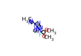 COc1cc(OC)c(F)c(N(C[C@@H]2CCCN2)c2ncc3ncc(-c4cnn(C)c4)nc3n2)c1